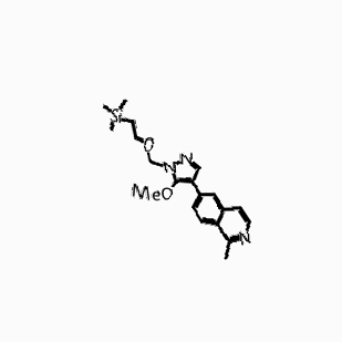 COc1c(-c2ccc3c(C)nccc3c2)cnn1COCC[Si](C)(C)C